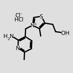 Cc1ccc(C[n+]2csc(CCO)c2C)c(N)n1.Cl.[Cl-]